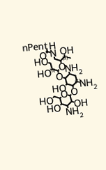 CCCCCC(=O)NCC(OC(OC1C(N)C[C@H](N)C(OC2OC(CO)C(O)C(N)C2O)C1O)[C@@H](O)CO)[C@H](C)O